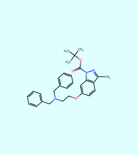 Cc1nn(C(=O)OC(C)(C)C)c2cc(OCCN(Cc3ccccc3)Cc3ccccc3)ccc12